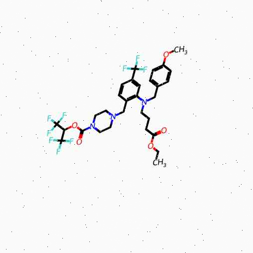 CCOC(=O)CCCN(Cc1ccc(OC)cc1)c1cc(C(F)(F)F)ccc1CN1CCN(C(=O)OC(C(F)(F)F)C(F)(F)F)CC1